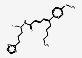 CCCCC/C(=C\C=C\C(=O)N[C@H](C)CCCc1ncc[nH]1)c1ccc(OC)cc1